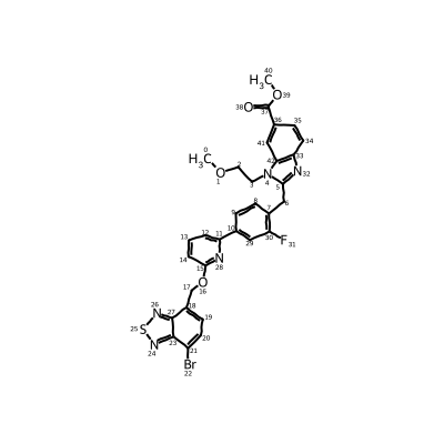 COCCn1c(Cc2ccc(-c3cccc(OCc4ccc(Br)c5nsnc45)n3)cc2F)nc2ccc(C(=O)OC)cc21